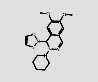 COc1cc2c(cc1OC)C(N1NC=CO1)N(N1CCCCC1)N=C2